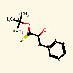 CC(C)(C)OC(=S)C(O)Cc1ccccc1